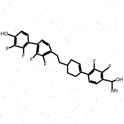 CCCC(O)c1ccc(C2=CCC(CCc3ccc(-c4ccc(O)c(F)c4F)c(F)c3F)CC2)c(F)c1F